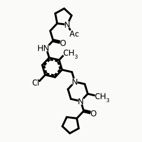 CC(=O)N1CCCC1CC(=O)Nc1cc(Cl)cc(CN2CCN(C(=O)C3CCCC3)C(C)C2)c1C